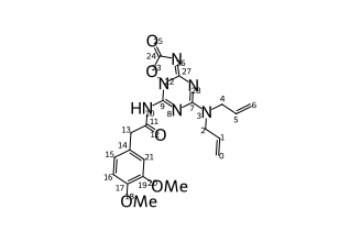 C=CCN(CC=C)c1nc(NC(=O)Cc2ccc(OC)c(OC)c2)n2oc(=O)nc2n1